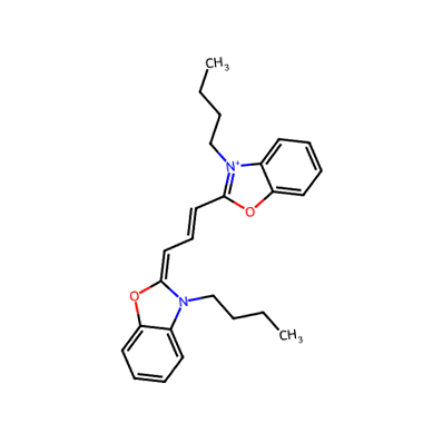 CCCCN1C(=CC=Cc2oc3ccccc3[n+]2CCCC)Oc2ccccc21